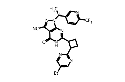 CCc1cnc(C2CCC2c2nc3c(c(C#N)nn3[C@@H](C)c3ccc(C(F)(F)F)nc3)c(=O)[nH]2)nc1